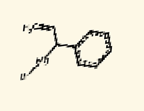 C=C[CH]([Mg][Br])c1ccccc1